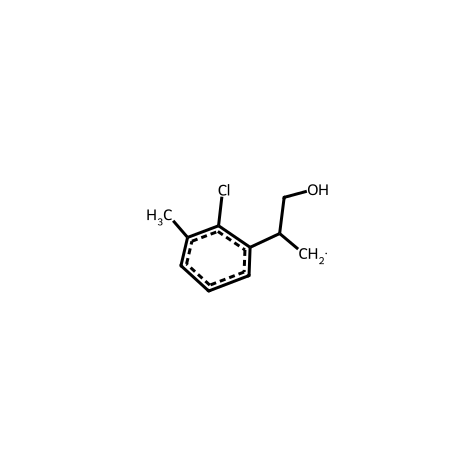 [CH2]C(CO)c1cccc(C)c1Cl